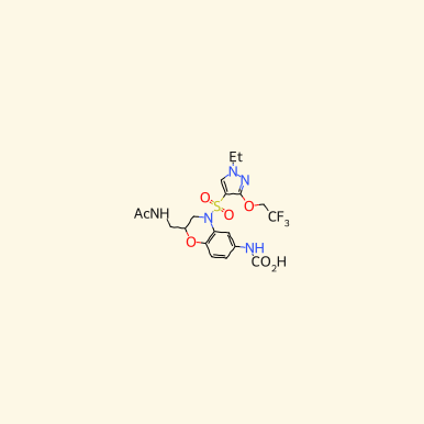 CCn1cc(S(=O)(=O)N2CC(CNC(C)=O)Oc3ccc(NC(=O)O)cc32)c(OCC(F)(F)F)n1